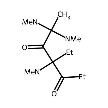 CCC(=O)C(CC)(NC)C(=O)C(C)(NC)NC